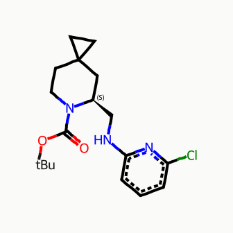 CC(C)(C)OC(=O)N1CCC2(CC2)C[C@H]1CNc1cccc(Cl)n1